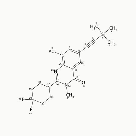 CC(=O)c1cc(C#C[Si](C)(C)C)cc2c(=O)n(C)c(N3CCC(F)(F)CC3)nc12